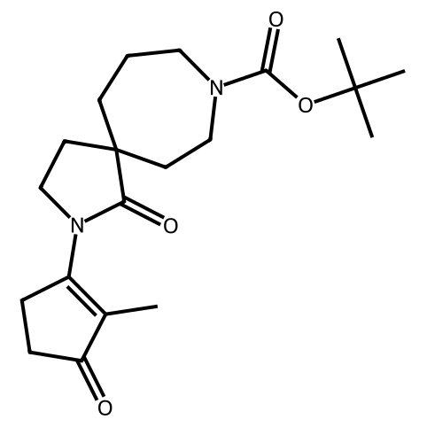 CC1=C(N2CCC3(CCCN(C(=O)OC(C)(C)C)CC3)C2=O)CCC1=O